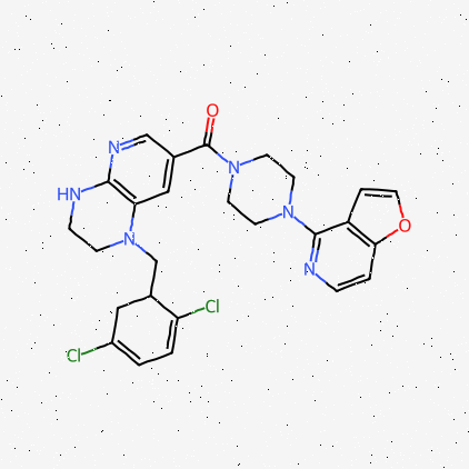 O=C(c1cnc2c(c1)N(CC1CC(Cl)=CC=C1Cl)CCN2)N1CCN(c2nccc3occc23)CC1